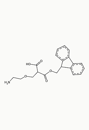 NCCOCC(C(=O)O)C(=O)OCC1c2ccccc2-c2ccccc21